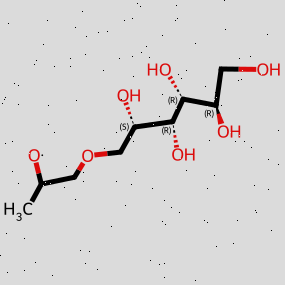 CC([O])COC[C@H](O)[C@@H](O)[C@H](O)[C@H](O)CO